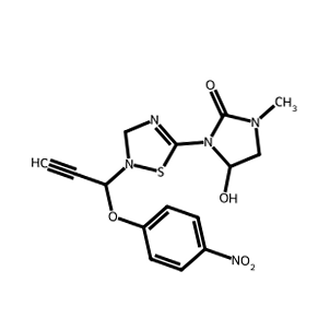 C#CC(Oc1ccc([N+](=O)[O-])cc1)N1CN=C(N2C(=O)N(C)CC2O)S1